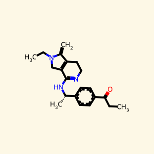 C=C1C2=C(CN1CC)C(N[C@@H](C)c1ccc(C(=O)CC)cc1)=NCC2